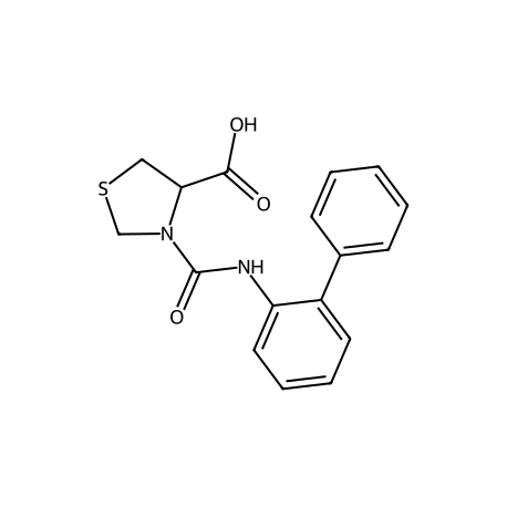 O=C(O)C1CSCN1C(=O)Nc1ccccc1-c1ccccc1